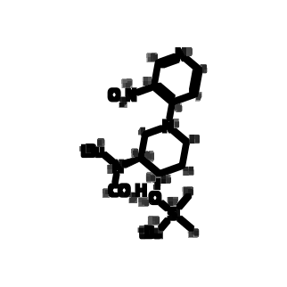 CC(C)(C)N(C(=O)O)[C@H]1CN(c2ccncc2[N+](=O)[O-])CC[C@@H]1O[Si](C)(C)C(C)(C)C